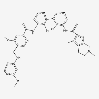 C=C(Nc1cccc(-c2cccc(NC(=O)c3cc(OC)c(CNc4ccnc(OC)c4)cn3)c2Cl)c1Cl)c1nc2c(n1C)CCN(C)C2